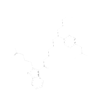 CCCCC(CCCCCC(=O)c1c(CCCC(=O)O)[nH]c2ccccc12)c1ccc(CC(C)C)cc1